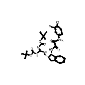 CC(C)(C)OC(=O)/N=C(\NC[C@H]1Cc2ccccc2[C@@H]1NC(=O)C(=O)Nc1ccc(Cl)c(F)c1)NC(=O)OC(C)(C)C